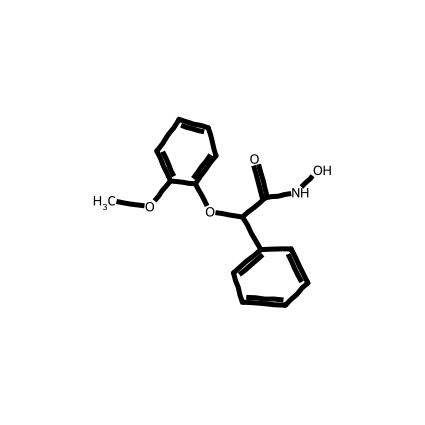 COc1ccccc1OC(C(=O)NO)c1ccccc1